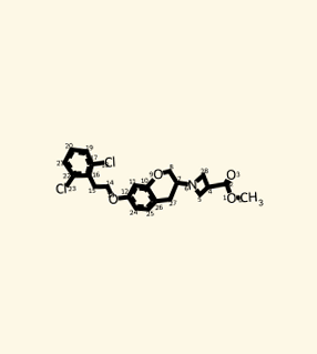 COC(=O)C1CN(C2COc3cc(OCCc4c(Cl)cccc4Cl)ccc3C2)C1